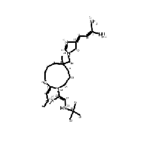 CC/C=C1/OCCCC(C)(CN2C=N/C(=C/C=C(N)N)C2)CCCN1/C(N)=C/NC(C)(C)C